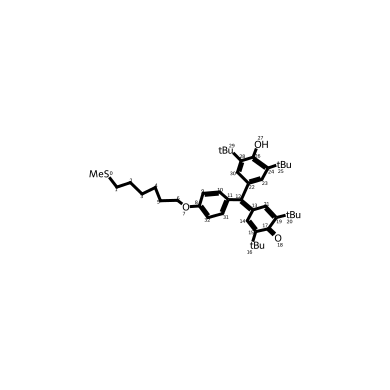 CSCCCCCCOc1ccc(C(=C2C=C(C(C)(C)C)C(=O)C(C(C)(C)C)=C2)c2cc(C(C)(C)C)c(O)c(C(C)(C)C)c2)cc1